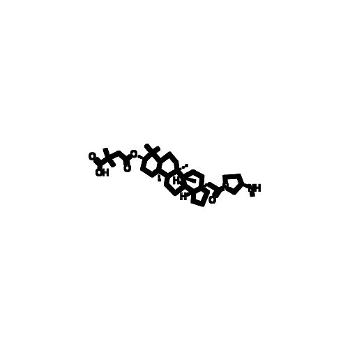 CN[C@@H]1CCN(C(=O)C[C@]23CCC[C@@H]2[C@H]2CCC4[C@@]5(C)CC[C@H](OC(=O)CC(C)(C)C(=O)O)C(C)(C)C5CC[C@@]4(C)[C@]2(C)CC3)C1